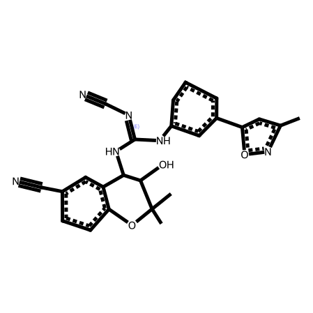 Cc1cc(-c2cccc(N/C(=N/C#N)NC3c4cc(C#N)ccc4OC(C)(C)C3O)c2)on1